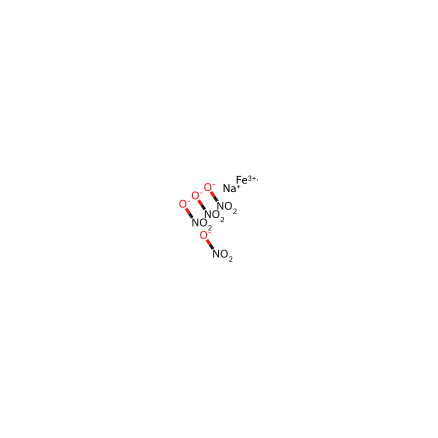 O=[N+]([O-])[O-].O=[N+]([O-])[O-].O=[N+]([O-])[O-].O=[N+]([O-])[O-].[Fe+3].[Na+]